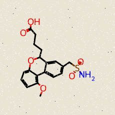 COc1cccc2c1-c1ccc(CS(N)(=O)=O)cc1C(CCCC(=O)O)O2